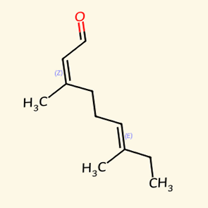 CC/C(C)=C/CC/C(C)=C\C=O